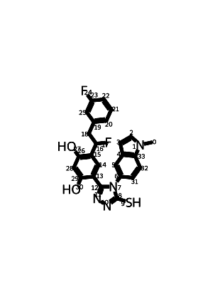 Cn1ccc2cc(-n3c(S)nnc3-c3cc(C(F)Cc4cccc(F)c4)c(O)cc3O)ccc21